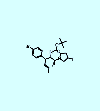 C/C=C/[C@@H](c1ccc(Br)cc1)[C@H](NC(=O)OC(C)(C)C)C(=O)N1CCC(F)C1